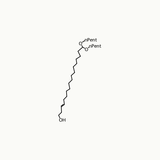 CCCCCOC(CCCCCCCCCCCCC/C=C/CCO)OCCCCC